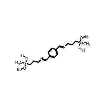 CCO[Si](C)(CCC/N=C/c1ccc(/C=N/CCC[Si](C)(OCC)OCC)cc1)OCC